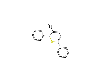 [2H]C1=CC=C(c2ccccc2)SC1c1ccccc1